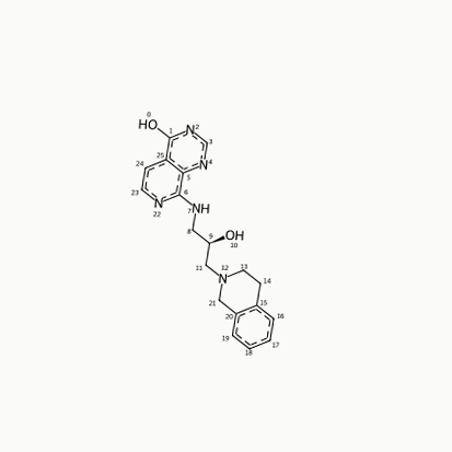 Oc1ncnc2c(NC[C@@H](O)CN3CCc4ccccc4C3)nccc12